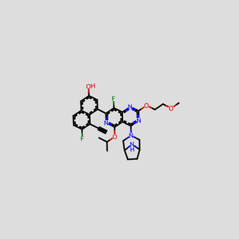 C#Cc1c(F)ccc2cc(O)cc(-c3nc(OC(C)C)c4c(N5CC6CCC(C5)N6)nc(OCCOC)nc4c3F)c12